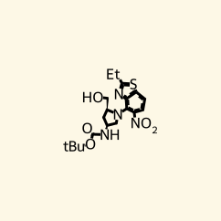 CCc1nc2c(N3C[C@@H](NC(=O)OC(C)(C)C)C[C@H]3CO)c([N+](=O)[O-])ccc2s1